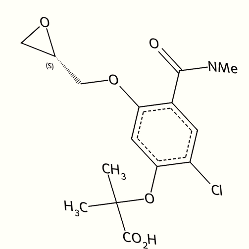 CNC(=O)c1cc(Cl)c(OC(C)(C)C(=O)O)cc1OC[C@@H]1CO1